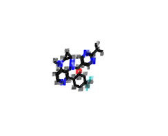 CC(C)c1ncc(C(=O)Nc2c(N(C)C3CC3)ccnc2C2CCC(F)(F)CC2)cn1